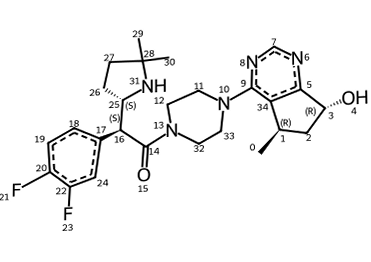 C[C@@H]1C[C@@H](O)c2ncnc(N3CCN(C(=O)[C@@H](c4ccc(F)c(F)c4)[C@@H]4CCC(C)(C)N4)CC3)c21